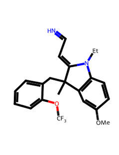 CCN1/C(=C\C=N)C(C)(Cc2ccccc2OC(F)(F)F)c2cc(OC)ccc21